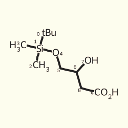 CC(C)(C)[Si](C)(C)OCC(O)CC(=O)O